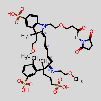 COCC\N=C(/C=C/C=C/C=C1/N(CCOCCC(=O)ON2C(=O)CCC2=O)c2ccc(S(=O)(=O)O)cc2C1(C)CCOC)C(C)(CCCS(=O)(=O)O)c1cc(S(=O)(=O)O)ccc1C